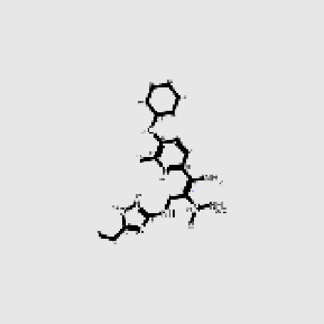 CCc1nc(NC/C(=C(/N)c2ccc(OC3CCCCC3)c(C)n2)N(C)N)no1